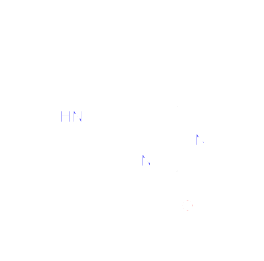 [NH]c1cccc2c1=NC(=O)N=2